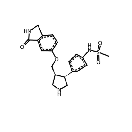 CS(=O)(=O)Nc1ccc([C@@H]2CNC[C@H]2COc2ccc3c(c2)C(=O)NC3)cc1